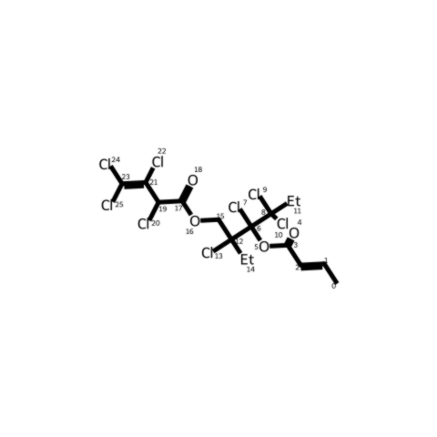 CC=CC(=O)OC(Cl)(C(Cl)(Cl)CC)C(Cl)(CC)COC(=O)C(Cl)C(Cl)=C(Cl)Cl